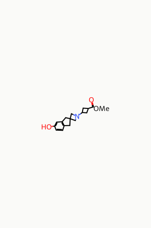 COC(=O)C1CC(N2CC3(Cc4ccc(O)cc4C3)C2)C1